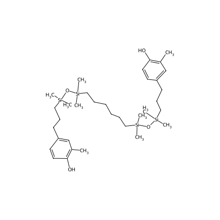 Cc1cc(CCC[Si](C)(C)O[Si](C)(C)CCCCCC[Si](C)(C)O[Si](C)(C)CCCc2ccc(O)c(C)c2)ccc1O